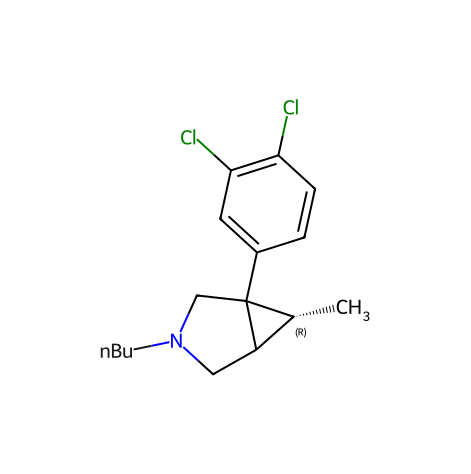 CCCCN1CC2[C@@H](C)C2(c2ccc(Cl)c(Cl)c2)C1